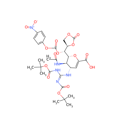 CC(=O)N[C@H]1[C@H]([C@H](OC(=O)Oc2ccc([N+](=O)[O-])cc2)[C@H]2COC(=O)O2)OC(C(=O)O)=C[C@@H]1N/C(=N\C(=O)OC(C)(C)C)NC(=O)OC(C)(C)C